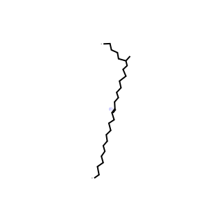 [CH2]CCCCCCCCCCC/C=C/CCCCCCCCC(C)CCCC[CH2]